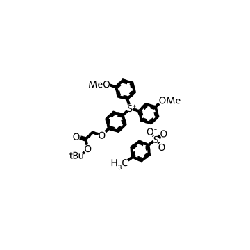 COc1cccc([S+](c2ccc(OCC(=O)OC(C)(C)C)cc2)c2cccc(OC)c2)c1.Cc1ccc(S(=O)(=O)[O-])cc1